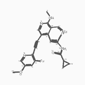 CNc1ncc(C#Cc2ncc(OC)cc2F)c2cc(NC(=O)C3CC3)ncc12